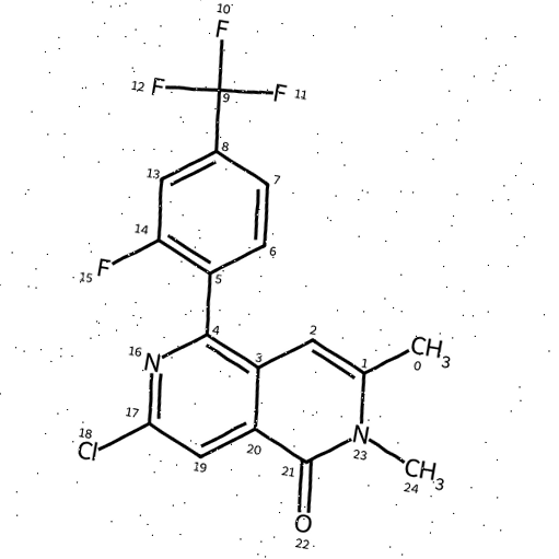 Cc1cc2c(-c3ccc(C(F)(F)F)cc3F)nc(Cl)cc2c(=O)n1C